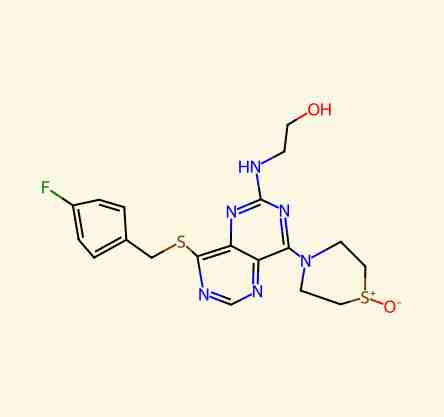 [O-][S+]1CCN(c2nc(NCCO)nc3c(SCc4ccc(F)cc4)ncnc23)CC1